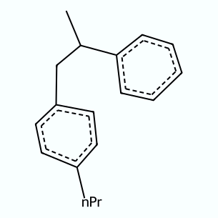 CCCc1ccc(CC(C)c2ccccc2)cc1